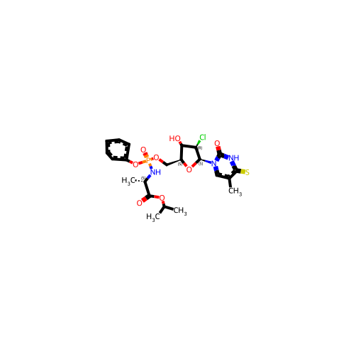 Cc1cn([C@H]2O[C@@H](COP(=O)(N[C@@H](C)C(=O)OC(C)C)Oc3ccccc3)C(O)[C@H]2Cl)c(=O)[nH]c1=S